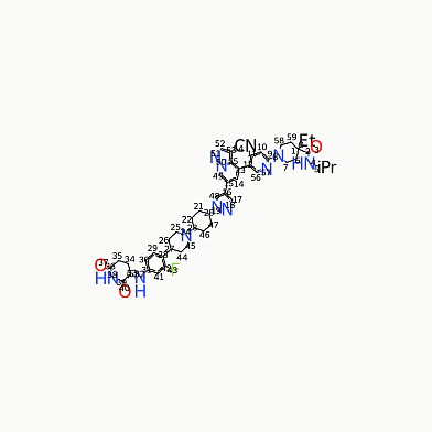 CCC1(C(=O)NC(C)C)CCN(c2ccc(-c3cc(-c4cnn(C5CCC(N6CCC(c7ccc(N[C@H]8CCC(=O)NC8=O)cc7F)CC6)CC5)c4)cn4ncc(C#N)c34)cn2)CC1